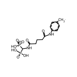 [CH2]c1ccc(NC(=O)CCCC(=O)NC(P(=O)(O)O)P(=O)(O)O)cc1